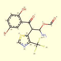 NC(OC=O)C(C(=O)c1cc(Br)ccc1O)c1scnc1C(F)(F)F